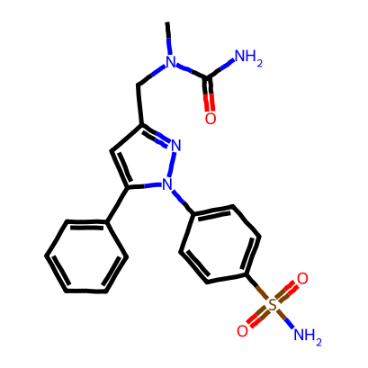 CN(Cc1cc(-c2ccccc2)n(-c2ccc(S(N)(=O)=O)cc2)n1)C(N)=O